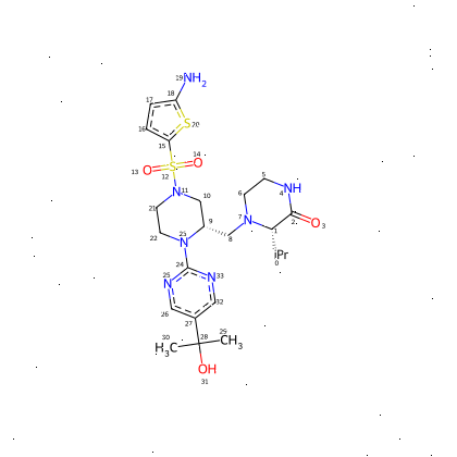 CC(C)[C@H]1C(=O)NCCN1C[C@H]1CN(S(=O)(=O)c2ccc(N)s2)CCN1c1ncc(C(C)(C)O)cn1